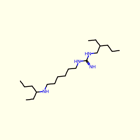 CCCC(CC)CNC(=N)NCCCCCCNC(CC)CCC